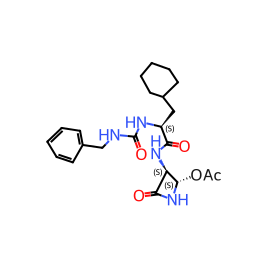 CC(=O)O[C@@H]1NC(=O)[C@H]1NC(=O)[C@H](CC1CCCCC1)NC(=O)NCc1ccccc1